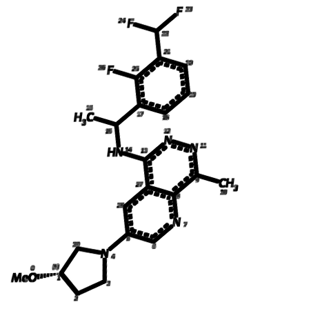 CO[C@H]1CCN(c2cnc3c(C)nnc(NC(C)c4cccc(C(F)F)c4F)c3c2)C1